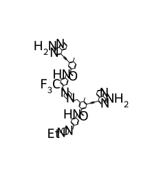 CCN1CCN(Cc2ccc(NC(=O)c3cc(C#Cc4cnc(N)c5ncccc45)c(C)c(CCN4CCN(Cc5ccc(NC(=O)c6ccc(C)c(C#Cc7cnc(N)c8ncccc78)c6)cc5C(F)(F)F)CC4)c3)cc2)CC1